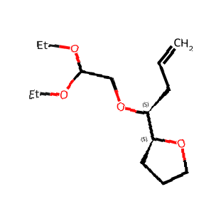 C=CC[C@H](OCC(OCC)OCC)[C@@H]1CCCO1